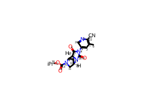 Cc1cc(N2C(=O)[C@@H]3C4C[C@H](CN4C(=O)OC(C)C)N3C2=O)cnc1C#N